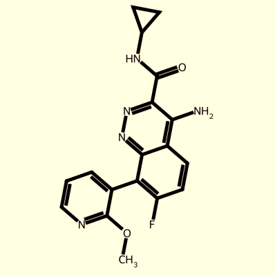 COc1ncccc1-c1c(F)ccc2c(N)c(C(=O)NC3CC3)nnc12